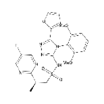 COc1cccc(OC)c1-n1c(NS(=O)(=O)C[C@@H](C)c2ncc(F)cn2)nnc1-c1ccco1